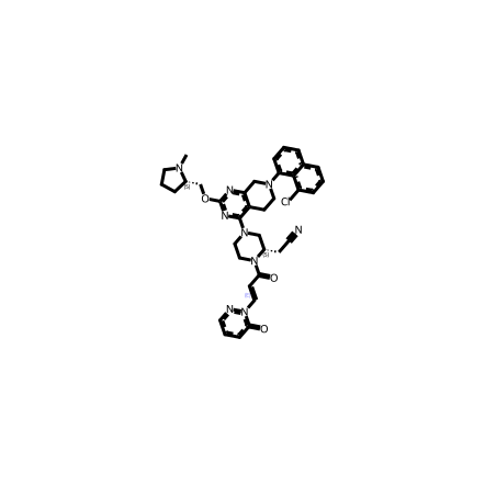 CN1CCC[C@H]1COc1nc2c(c(N3CCN(C(=O)/C=C/n4ncccc4=O)[C@@H](CC#N)C3)n1)CCN(c1cccc3cccc(Cl)c13)C2